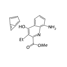 CCc1c(C(=O)OC)nc2c(N)cccc2c1O.c1cc2cc-2c1